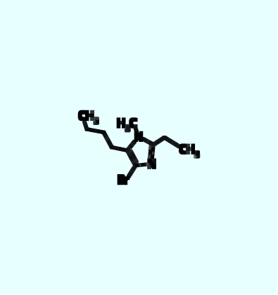 CCCCc1c(Br)nc(CC)n1C